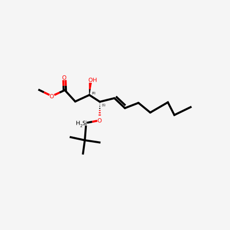 CCCCCC=C[C@H](O[SiH2]C(C)(C)C)[C@H](O)CC(=O)OC